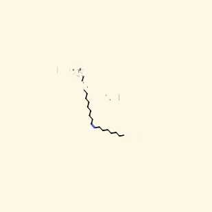 CCCCCCCC/C=C\CCCCCCCCNCCS(=O)(=O)OC.[NaH]